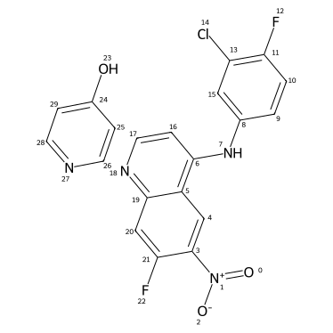 O=[N+]([O-])c1cc2c(Nc3ccc(F)c(Cl)c3)ccnc2cc1F.Oc1ccncc1